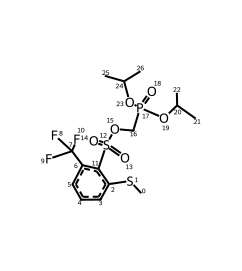 CSc1cccc(C(F)(F)F)c1S(=O)(=O)OCP(=O)(OC(C)C)OC(C)C